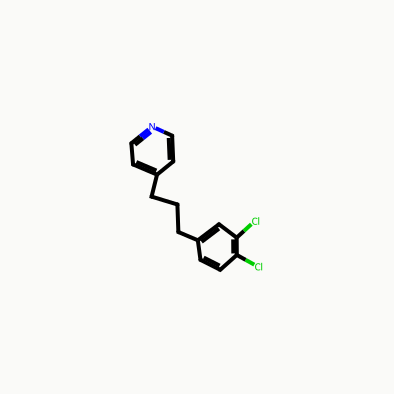 Clc1ccc(CCCc2ccncc2)cc1Cl